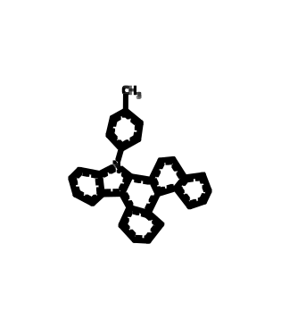 Cc1ccc(-n2c3ccccc3c3c4ccccc4c4c5ccccc5ccc4c32)cc1